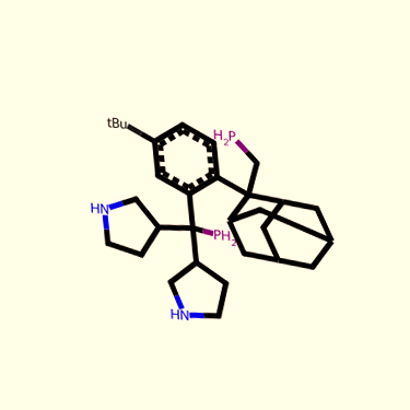 CC(C)(C)c1ccc(C2(CP)C3CC4CC(C3)CC2C4)c(C(P)(C2CCNC2)C2CCNC2)c1